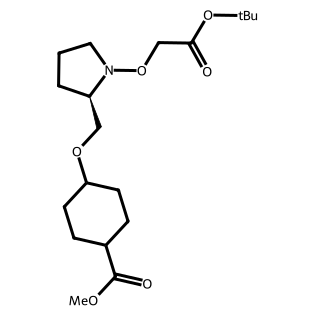 COC(=O)C1CCC(OC[C@H]2CCCN2OCC(=O)OC(C)(C)C)CC1